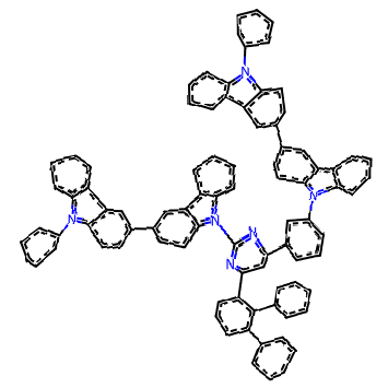 c1ccc(-c2cccc(-c3cc(-c4cccc(-n5c6ccccc6c6cc(-c7ccc8c(c7)c7ccccc7n8-c7ccccc7)ccc65)c4)nc(-n4c5ccccc5c5cc(-c6ccc7c(c6)c6ccccc6n7-c6ccccc6)ccc54)n3)c2-c2ccccc2)cc1